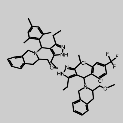 CCc1n[nH]c(CC)c1C(c1c(C)cc(C)cc1C)N1Cc2ccccc2CC1COC.CCc1n[nH]c(CC)c1C(c1c(Cl)cc(C(F)(F)F)cc1Cl)N1Cc2ccccc2CC1COC